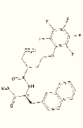 CCOC(=O)CC(CCOc1c(F)c(F)c(F)c(F)c1F)C(=O)N[C@@H](Cc1ccc2ccccc2c1)C(=O)NC